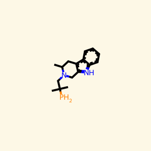 CC1Cc2c([nH]c3ccccc23)CN1CC(C)(C)P